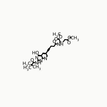 COC(=O)CC[C@H](NC(=O)CCC#Cc1cnc2nc(NC(=O)C(C)(C)C)nc(O)c2c1)C(=O)OC